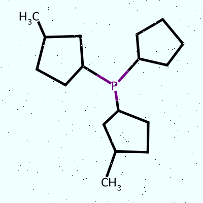 CC1CCC(P(C2CCCC2)C2CCC(C)C2)C1